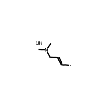 [CH2]C=CCN(C)C.[LiH]